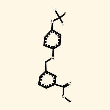 COC(=O)c1cccc(COc2ccc(OC(F)(F)F)cc2)c1